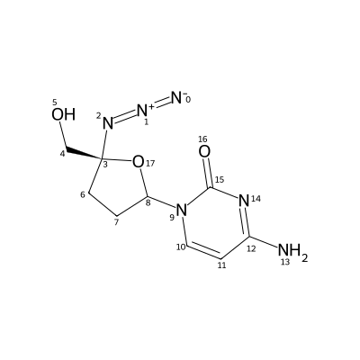 [N-]=[N+]=N[C@@]1(CO)CCC(n2ccc(N)nc2=O)O1